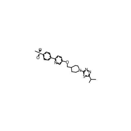 CC(C)c1nnc(N2CCC(COc3ccc(-c4ccc(S(C)(=O)=O)cc4)nc3)CC2)s1